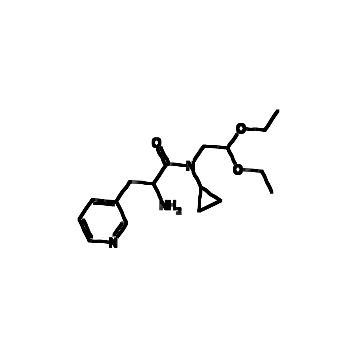 CCOC(CN(C(=O)C(N)Cc1cccnc1)C1CC1)OCC